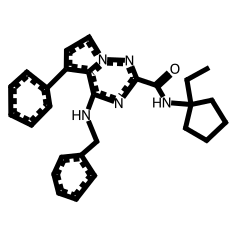 CCC1(NC(=O)c2nc(NCc3ccccc3)c3c(-c4ccccc4)ccn3n2)CCCC1